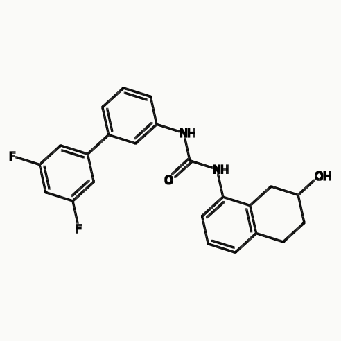 O=C(Nc1cccc(-c2cc(F)cc(F)c2)c1)Nc1cccc2c1CC(O)CC2